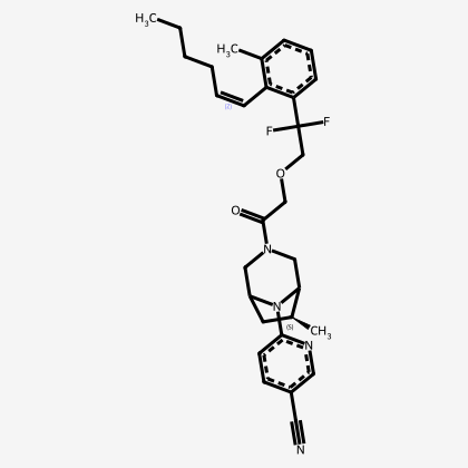 CCCC/C=C\c1c(C)cccc1C(F)(F)COCC(=O)N1CC2C[C@H](C)C(C1)N2c1ccc(C#N)cn1